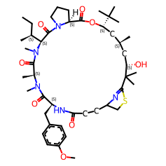 CC[C@H](C)[C@H]1C(=O)N2CCC[C@H]2C(=O)O[C@H](C(C)(C)C)C[C@@H](C)C[C@H](O)C(C)(C)C2=NC(CCC(=O)N[C@@H](Cc3ccc(OC)cc3)C(=O)N(C)[C@@H](C)C(=O)N1C)CS2